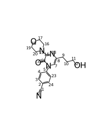 N#Cc1ccc(-n2cc(CCCO)nc(N3CCOCC3)c2=O)cc1